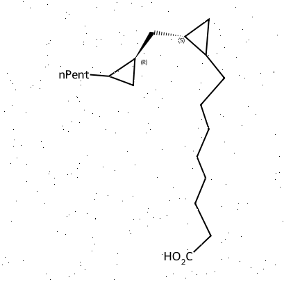 CCCCCC1C[C@@H]1C[C@@H]1CC1CCCCCCCC(=O)O